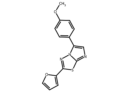 COc1ccc(-c2cnc3sc(-c4ccco4)nn23)cc1